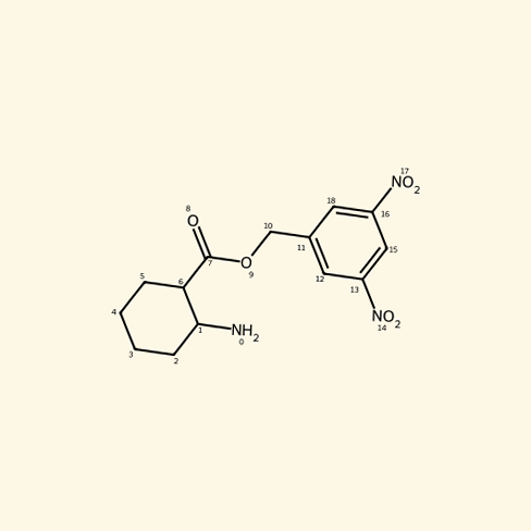 NC1CCCCC1C(=O)OCc1cc([N+](=O)[O-])cc([N+](=O)[O-])c1